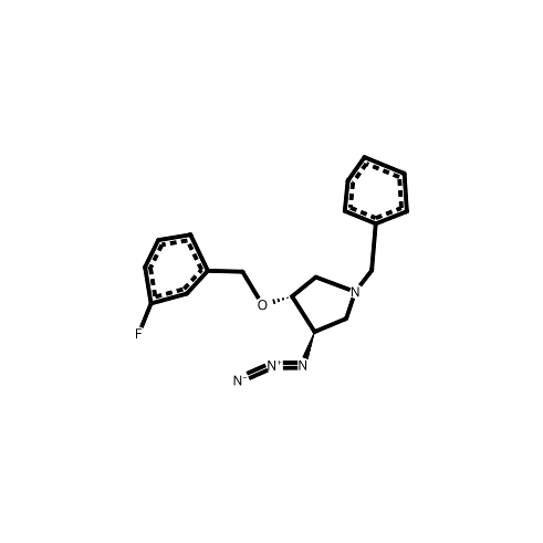 [N-]=[N+]=N[C@@H]1CN(Cc2ccccc2)C[C@H]1OCc1cccc(F)c1